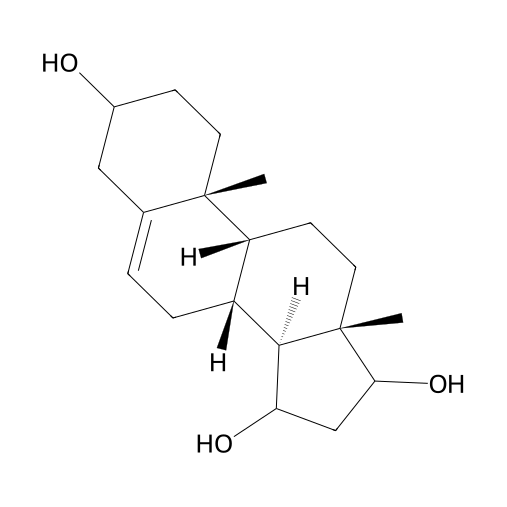 C[C@]12CCC(O)CC1=CC[C@@H]1[C@H]2CC[C@]2(C)C(O)CC(O)[C@@H]12